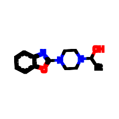 CCC(O)N1CCN(c2nc3ccccc3o2)CC1